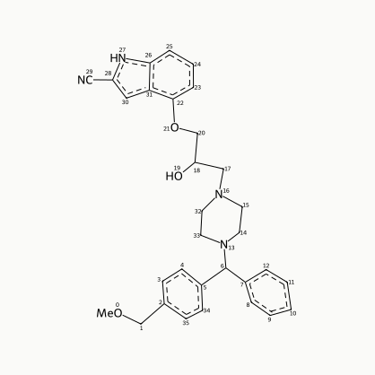 COCc1ccc(C(c2ccccc2)N2CCN(CC(O)COc3cccc4[nH]c(C#N)cc34)CC2)cc1